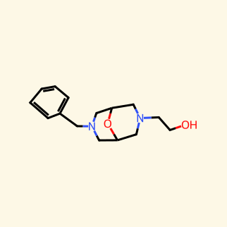 OCCN1CC2CN(Cc3ccccc3)CC(C1)O2